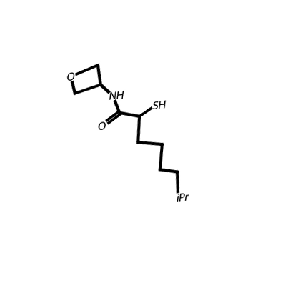 CC(C)CCCCC(S)C(=O)NC1COC1